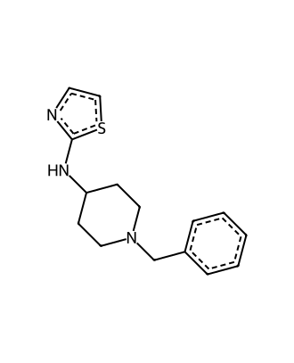 c1ccc(CN2CCC(Nc3nccs3)CC2)cc1